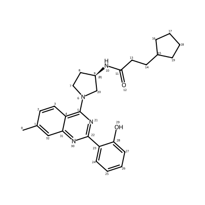 Cc1ccc2c(N3CC[C@@H](NC(=O)CCC4CCCC4)C3)nc(-c3ccccc3O)nc2c1